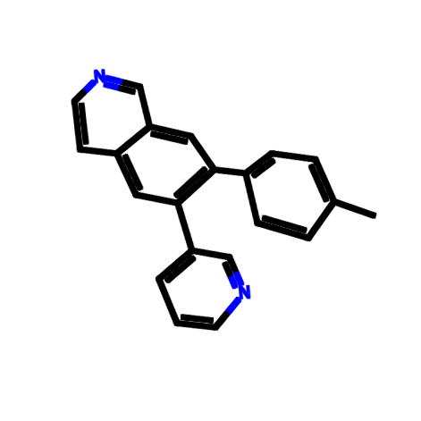 Cc1ccc(-c2cc3cnccc3cc2-c2cccnc2)cc1